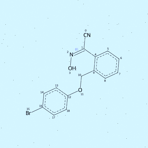 N#C/C(=N/O)c1ccccc1COc1ccc(Br)cc1